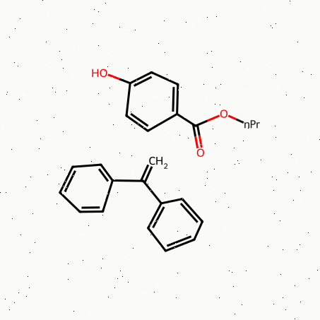 C=C(c1ccccc1)c1ccccc1.CCCOC(=O)c1ccc(O)cc1